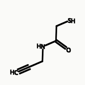 C#CCNC(=O)CS